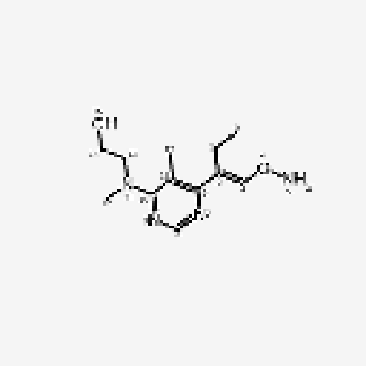 CC/C(=C\ON)c1ncnc(N(C)CCO)c1C